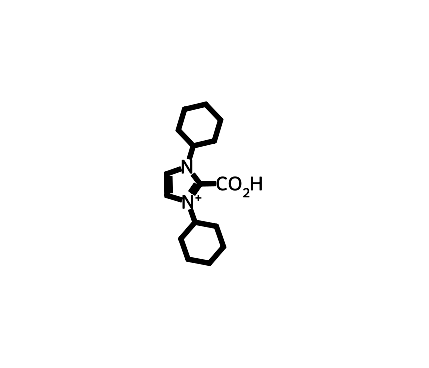 O=C(O)c1n(C2CCCCC2)cc[n+]1C1CCCCC1